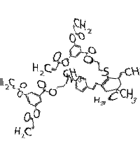 C=CC(=O)Oc1cc(OC(=O)C=C)cc(C(=O)OCCSC2=C(/C=C/c3ccc(N(C)CCOC(=O)c4cc(OC(=O)C=C)cc(OC(=O)C=C)c4)cc3)CC(C)(C)C/C2=C\C=O)c1